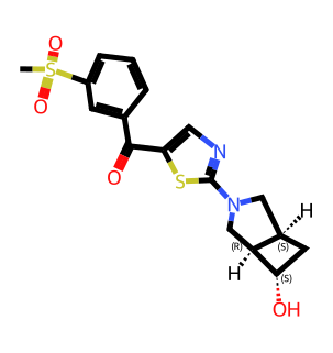 CS(=O)(=O)c1cccc(C(=O)c2cnc(N3C[C@H]4C[C@H](O)[C@H]4C3)s2)c1